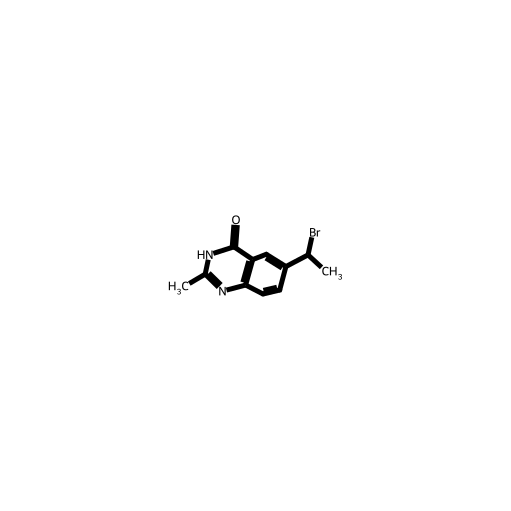 Cc1nc2ccc(C(C)Br)cc2c(=O)[nH]1